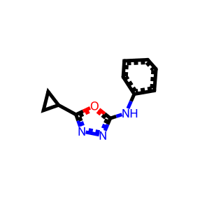 c1ccc(Nc2nnc(C3CC3)o2)cc1